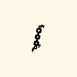 CCCC1CC=C(c2ccc(-c3ccc(OCF)c(F)c3)cc2)CC1